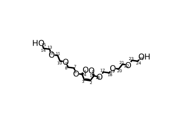 O=C(/C=C\C(=O)OCCOCCOCCO)OCCOCCOCCO